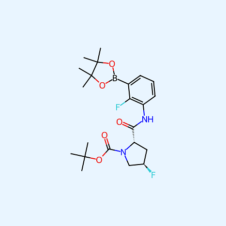 CC(C)(C)OC(=O)N1C[C@H](F)C[C@H]1C(=O)Nc1cccc(B2OC(C)(C)C(C)(C)O2)c1F